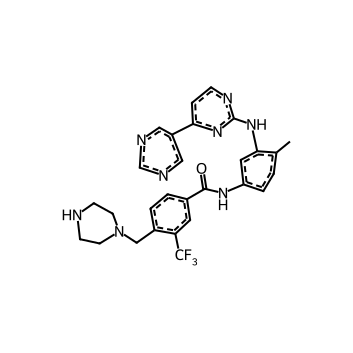 Cc1ccc(NC(=O)c2ccc(CN3CCNCC3)c(C(F)(F)F)c2)cc1Nc1nccc(-c2cncnc2)n1